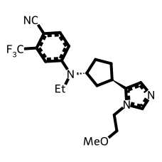 CCN(c1ccc(C#N)c(C(F)(F)F)c1)[C@@H]1CC[C@@H](c2cncn2CCOC)C1